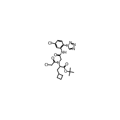 CC(C)(C)OC(=O)C(CC1CCC1)N(CC(=O)Nc1cc(Cl)ccc1-n1cnnn1)C(=O)CCl